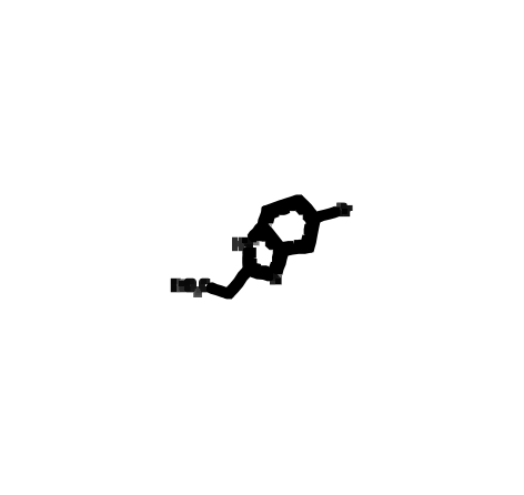 CCOC(=O)Cc1nc2cc(Br)ccc2[nH]1